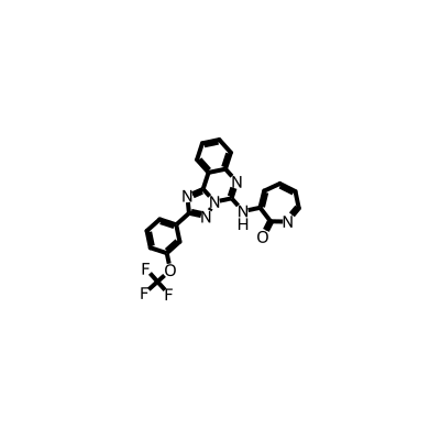 O=c1nccccc1Nc1nc2ccccc2c2nc(-c3cccc(OC(F)(F)F)c3)nn12